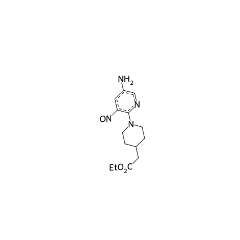 CCOC(=O)CC1CCN(c2ncc(N)cc2N=O)CC1